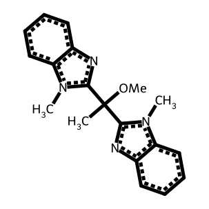 COC(C)(c1nc2ccccc2n1C)c1nc2ccccc2n1C